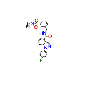 CCNS(=O)(=O)c1cccc(CNC(=O)c2cccc3c2cnn3-c2ccc(F)cc2)c1